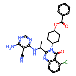 C[C@H](Nc1ncnc(N)c1C#N)c1nc2cccc(Cl)c2c(=O)n1[C@H]1CC[C@H](OC(=O)c2ccccc2)CC1